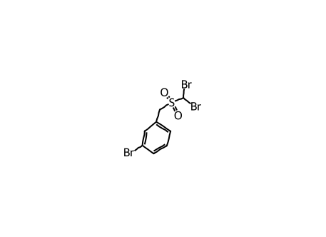 O=S(=O)(Cc1cccc(Br)c1)C(Br)Br